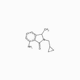 CC1c2cccc(N)c2C(=O)N1CC1CC1